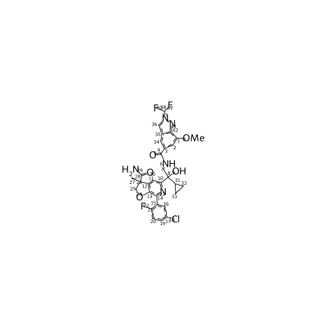 COc1cc(C(=O)NCC(O)(c2cc3c(c(-c4cc(Cl)ccc4F)n2)OC[C@]3(C)C(N)=O)C2CC2)cc2cn(C(F)F)nc12